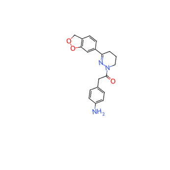 Nc1ccc(CC(=O)N2CCCC(c3ccc4c(c3)OOC4)=N2)cc1